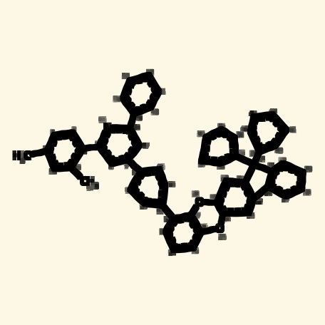 Cc1ccc(-c2cc(-c3ccc(-c4cccc5c4Oc4cc6c(cc4O5)-c4ccccc4C6(c4ccccc4)c4ccccc4)cc3)cc(-c3ccccc3)n2)c(C)c1